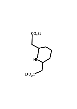 CCOC(=O)CC1CCCC(CC(=O)OCC)N1